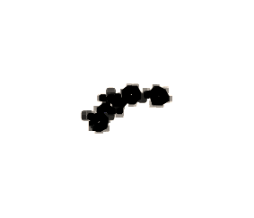 CN1C(=O)C(C)(Cc2cccc(OCc3ccccc3)c2)N(C)C(=O)/C1=C\c1cccnc1Cl